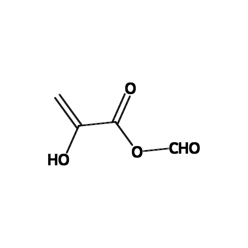 C=C(O)C(=O)OC=O